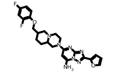 Nc1cc(N2CCN3CC(COc4ccc(F)cc4F)CCC3C2)nc2nc(-c3ccco3)nn12